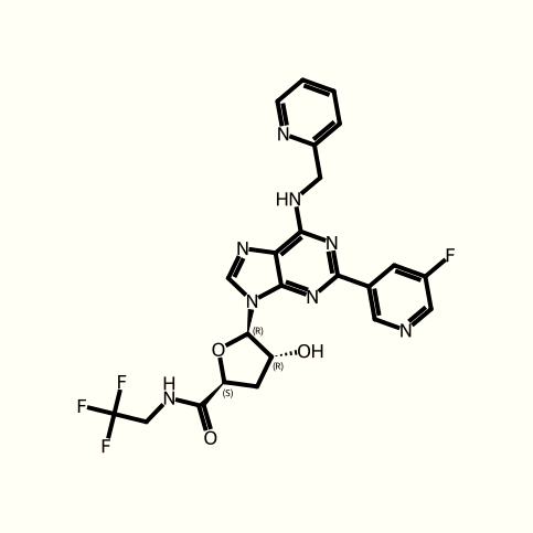 O=C(NCC(F)(F)F)[C@@H]1C[C@@H](O)[C@H](n2cnc3c(NCc4ccccn4)nc(-c4cncc(F)c4)nc32)O1